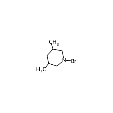 CC1CC(C)CN(Br)C1